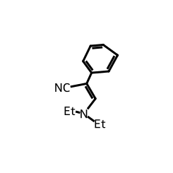 CCN(C=C(C#N)c1ccccc1)CC